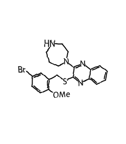 COc1ccc(Br)cc1CSc1nc2ccccc2nc1N1CCCNCC1